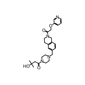 CC(C)(O)CC(=O)N1CCN(Cc2ccc3c(c2)CCN(C(=O)COc2cccnc2)C3)CC1